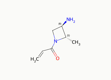 C=CC(=O)N1C[C@@H](N)[C@@H]1C